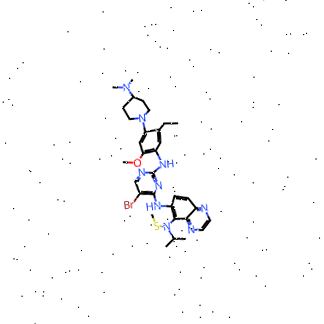 CCc1cc(Nc2ncc(Br)c(Nc3ccc4nccnc4c3N(SC)C(C)C)n2)c(OC)cc1N1CCC(N(C)C)CC1